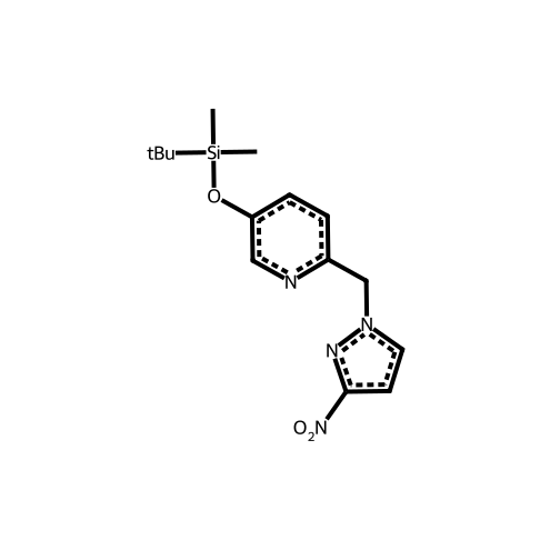 CC(C)(C)[Si](C)(C)Oc1ccc(Cn2ccc([N+](=O)[O-])n2)nc1